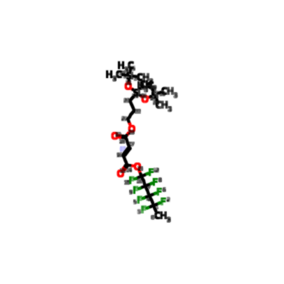 CC(F)(F)C(F)(F)C(F)(F)C(F)(F)OC(=O)/C=C/C(=O)OCCC[Si](C)(O[Si](C)(C)C)O[Si](C)(C)C